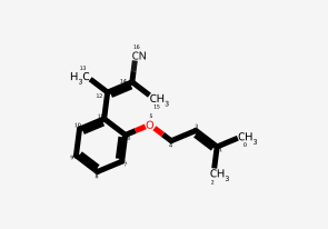 CC(C)=CCOc1ccccc1C(C)=C(C)C#N